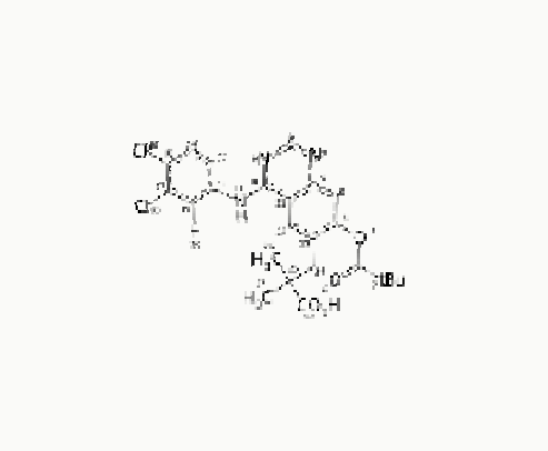 CC(C)(C)C(=O)Oc1cc2ncnc(Nc3ccc(Cl)c(Cl)c3F)c2cc1CC(C)(C)C(=O)O